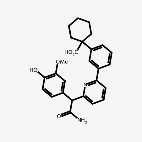 COc1cc(C(C(N)=O)c2cccc(-c3cccc(C4(C(=O)O)CCCCC4)c3)n2)ccc1O